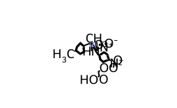 C/C(=N/Nc1cc(OCC(=O)O)c([N+](=O)[O-])cc1[N+](=O)[O-])c1ccc(C)cc1